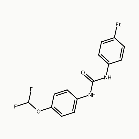 CCc1ccc(NC(=O)Nc2ccc(OC(F)F)cc2)cc1